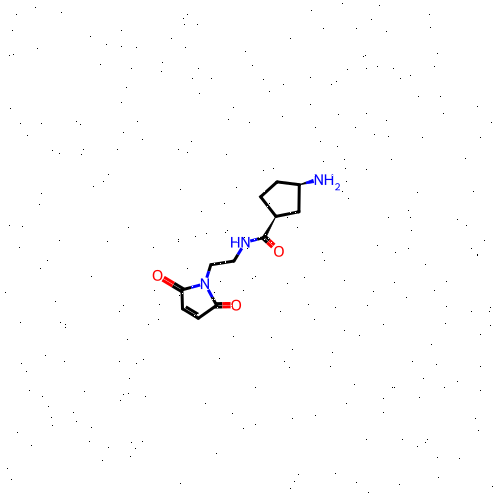 N[C@@H]1CC[C@H](C(=O)NCCN2C(=O)C=CC2=O)C1